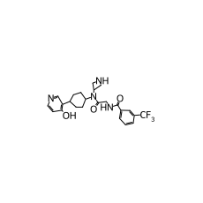 O=C(NCC(=O)N(C1CCC(c2cnccc2O)CC1)C1CNC1)c1cccc(C(F)(F)F)c1